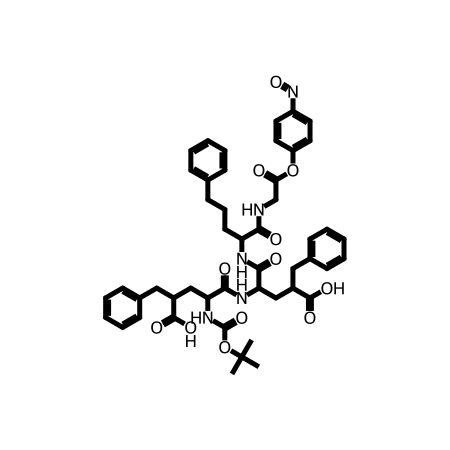 CC(C)(C)OC(=O)NC(CC(Cc1ccccc1)C(=O)O)C(=O)NC(CC(Cc1ccccc1)C(=O)O)C(=O)NC(CCCc1ccccc1)C(=O)NCC(=O)Oc1ccc(N=O)cc1